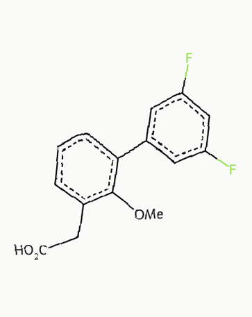 COc1c(CC(=O)O)cccc1-c1cc(F)cc(F)c1